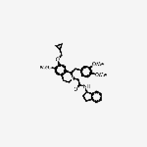 COc1ccc(CC2c3cc(OCC4CC4)c(OC)cc3CCN2CC(=O)NC2CCc3ccccc32)cc1OC